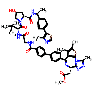 COC(=O)C[C@@H]1N=C(c2ccc(-c3ccc(C(=O)NCC(=O)N[C@H](C(=O)N4C[C@H](O)C[C@H]4C(=O)N[C@@H](C)c4ccc(-c5scnc5C)cc4)C(C)(C)C)cc3)cc2)c2c(sc(C)c2C)-n2c(C)nnc21